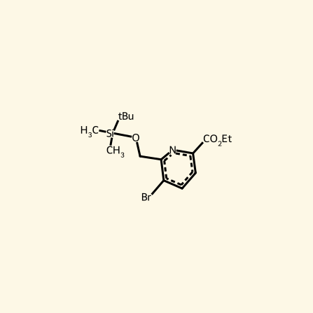 CCOC(=O)c1ccc(Br)c(CO[Si](C)(C)C(C)(C)C)n1